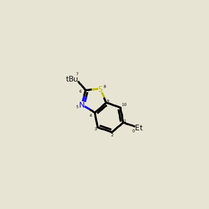 CCc1ccc2nc(C(C)(C)C)sc2c1